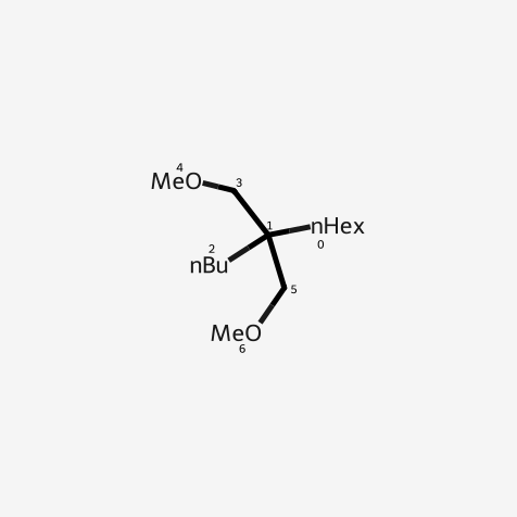 CCCCCCC(CCCC)(COC)COC